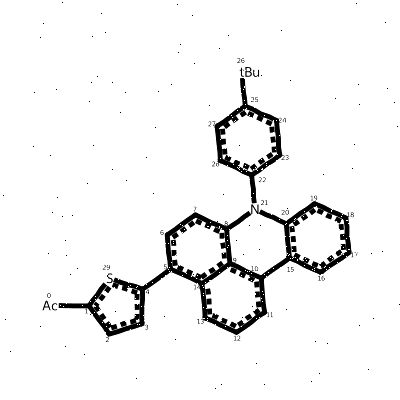 CC(=O)c1ccc(-c2ccc3c4c(cccc24)-c2ccccc2N3c2ccc(C(C)(C)C)cc2)s1